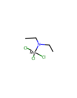 CC[N](CC)[Mo]([Cl])([Cl])[Cl]